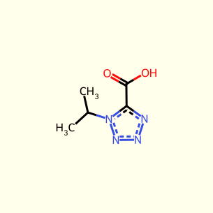 CC(C)n1nnnc1C(=O)O